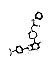 CN(C)c1ccc(-c2nc3c(N4CCN(CC(=O)Nc5ccccc5)CC4)c(Cl)cnc3[nH]2)cc1